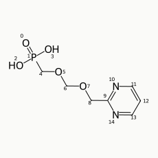 O=P(O)(O)COCOCc1ncccn1